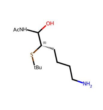 CC(=O)NC(O)[C@H](CCCCN)SC(C)(C)C